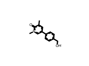 Cc1cc(-c2ccc(CO)cc2)cn(C)c1=O